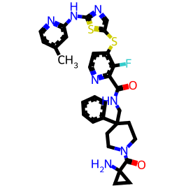 Cc1ccnc(Nc2ncc(Sc3ccnc(C(=O)NCC4(c5ccccc5)CCN(C(=O)C5(N)CC5)CC4)c3F)s2)c1